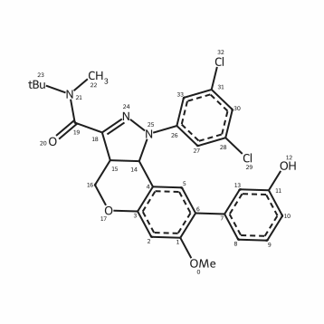 COc1cc2c(cc1-c1cccc(O)c1)C1C(CO2)C(C(=O)N(C)C(C)(C)C)=NN1c1cc(Cl)cc(Cl)c1